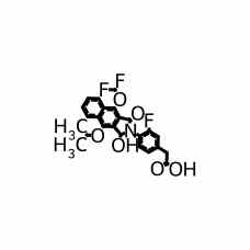 CC(C)Oc1c2c(c(OC(F)F)c3ccccc13)C(=O)N(c1ccc(CC(=O)O)cc1F)C2O